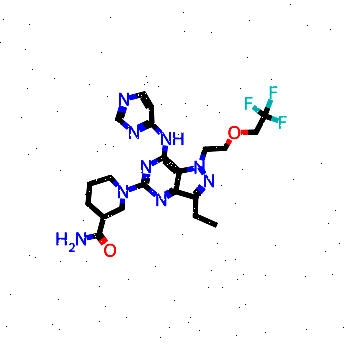 CCc1nn(CCOCC(F)(F)F)c2c(Nc3ccncn3)nc(N3CCCC(C(N)=O)C3)nc12